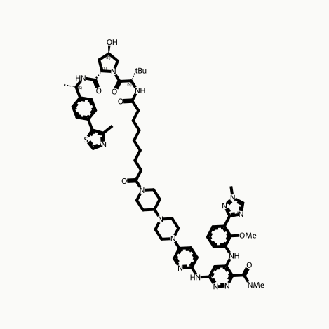 CNC(=O)c1nnc(Nc2ccc(N3CCN(C4CCN(C(=O)CCCCCCCC(=O)N[C@H](C(=O)N5C[C@H](O)C[C@H]5C(=O)N[C@@H](C)c5ccc(-c6scnc6C)cc5)C(C)(C)C)CC4)CC3)cn2)cc1Nc1cccc(-c2ncn(C)n2)c1OC